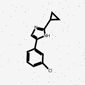 Clc1cc[c]c(-c2cnc(C3CC3)[nH]2)c1